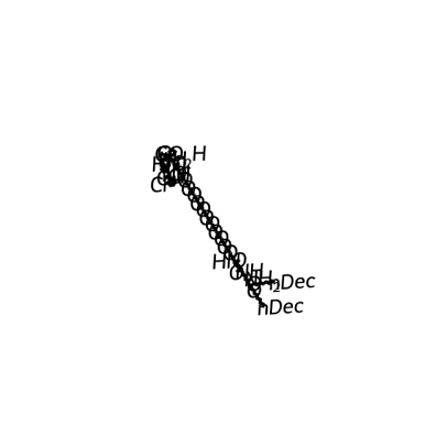 CCCCCCCCCCCCCCCCOCC(CC(N)CCCNC(=O)CCC(=O)NCCOCCOCCOCCOCCOCCOCCOCCOCCOCCOCCOCCOCCC(=O)NCCC1(C(=O)N[C@H](CC(=O)O)Cc2ccc(NC(=O)c3c(Cl)cccc3Cl)cc2)CCCC1)OCCCCCCCCCCCCCCCC